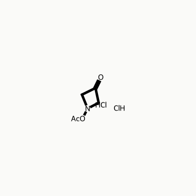 CC(=O)ON1CC(=O)C1.Cl.Cl